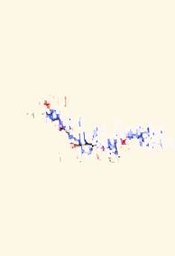 Cn1cc(NC(=O)c2nc(NC(=O)CCNC(=N)N)cn2C)cc1C(=O)NCCC(=O)Nc1cn(C)c(C(=O)O)n1